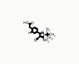 CC(C)(C)n1nc(-c2ccc(CC(=O)O)c(F)c2)c(C#N)c1N